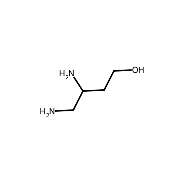 NCC(N)CCO